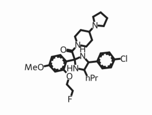 CCCC1NC(C(=O)N2CCC(N3CCCC3)CC2)(c2ccc(OC)cc2OCCF)NC1c1ccc(Cl)cc1